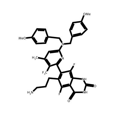 COc1ccc(CN(Cc2ccc(OC)cc2)c2cc(C)c(C(F)(F)F)c(-c3c(CCCN)c(F)c4c(=O)[nH]c(=O)[nH]c4c3F)n2)cc1